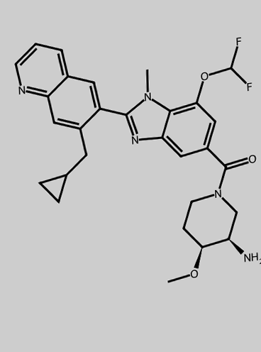 CO[C@H]1CCN(C(=O)c2cc(OC(F)F)c3c(c2)nc(-c2cc4cccnc4cc2CC2CC2)n3C)C[C@H]1N